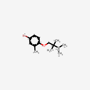 Cc1cc(Br)ccc1OCC(C)(C)[SiH](C)C